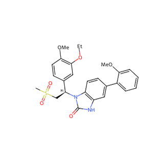 CCOc1cc([C@H](CS(C)(=O)=O)n2c(=O)[nH]c3cc(-c4ccccc4OC)ccc32)ccc1OC